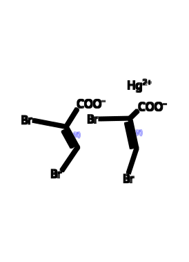 O=C([O-])/C(Br)=C/Br.O=C([O-])/C(Br)=C/Br.[Hg+2]